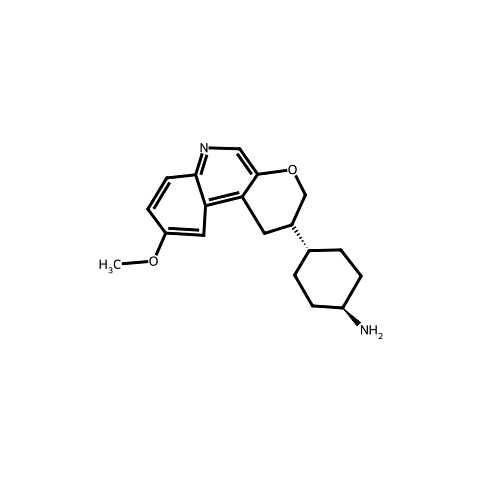 COc1ccc2ncc3c(c2c1)CC([C@H]1CC[C@H](N)CC1)CO3